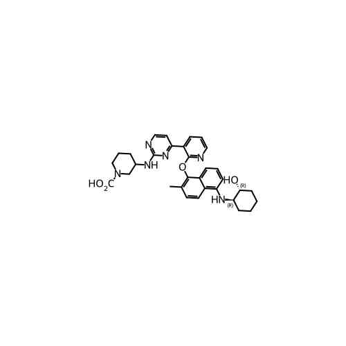 Cc1ccc2c(N[C@@H]3CCCC[C@H]3O)cccc2c1Oc1ncccc1-c1ccnc(NC2CCCN(C(=O)O)C2)n1